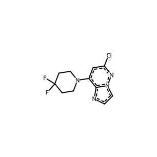 FC1(F)CCN(c2cc(Cl)nn3ccnc23)CC1